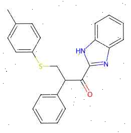 Cc1ccc(SCC(C(=O)c2nc3ccccc3[nH]2)c2ccccc2)cc1